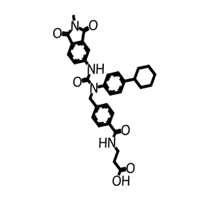 CN1C(=O)c2ccc(NC(=O)N(Cc3ccc(C(=O)NCCC(=O)O)cc3)c3ccc(C4CCCCC4)cc3)cc2C1=O